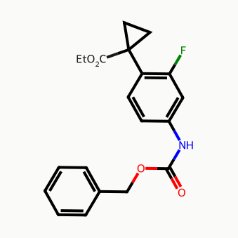 CCOC(=O)C1(c2ccc(NC(=O)OCc3ccccc3)cc2F)CC1